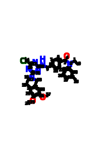 CCN(C(=O)c1ccc(CNc2nc(Cl)nc(N3CCc4cc(OC)c(OC)cc4C3)n2)cc1)c1cccc(C)c1